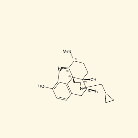 CN[C@@H]1CC[C@]2(O)[C@@H]3Cc4ccc(O)c5c4[C@]2(CCN3CC2CC2)[C@@H]1O5